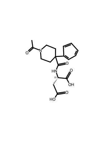 CC(=O)N1CCC(C(=O)N[C@@H](CC(=O)O)C(=O)O)(c2ccccc2)CC1